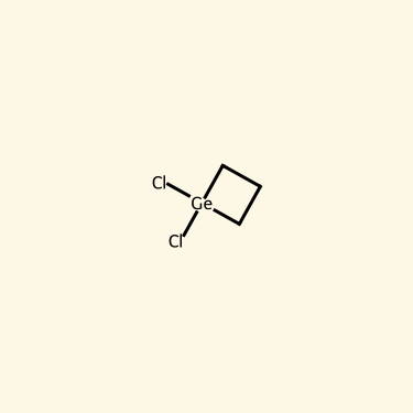 [Cl][Ge]1([Cl])[CH2]C[CH2]1